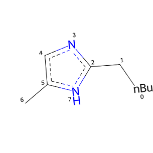 [CH2]CCCCc1ncc(C)[nH]1